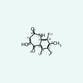 Cc1c(F)c(F)c2c(=O)c(O)cc(=O)[nH]c2c1F